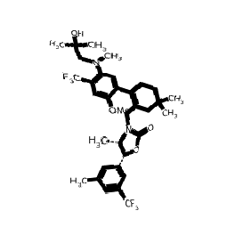 COc1cc(C(F)(F)F)c(N(C)CC(C)(C)O)cc1C1=C(CN2C(=O)O[C@H](c3cc(C)cc(C(F)(F)F)c3)[C@@H]2C)CC(C)(C)CC1